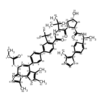 COC(=O)C[C@@H]1N=C(c2ccc(-c3ccc(C(=O)N[C@H](C(=O)N4C[C@H](O)C[C@H]4C(=O)N[C@@H](C)c4ccc(-c5scnc5C)cc4)C(C)(C)C)c(C(F)(F)F)c3)cc2)c2c(sc(C)c2C)-n2c(C)nnc21